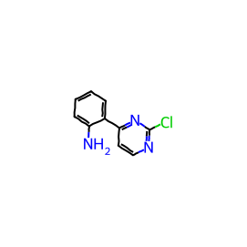 Nc1ccccc1-c1ccnc(Cl)n1